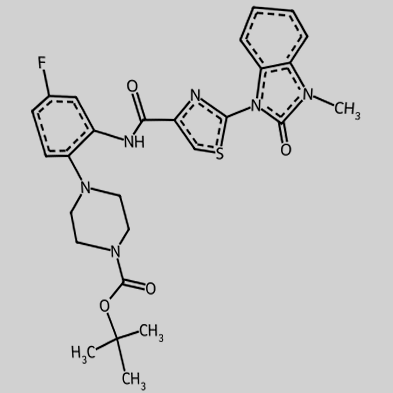 Cn1c(=O)n(-c2nc(C(=O)Nc3cc(F)ccc3N3CCN(C(=O)OC(C)(C)C)CC3)cs2)c2ccccc21